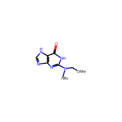 CCCCN(COC)c1nc2nc[nH]c2c(=O)[nH]1